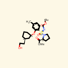 COC(=O)[C@@H]1CCCN1[S@@](=O)(=NC(=O)OC(C)(C)C)c1ccc(C)cc1O[C@@H]1CCC[C@H](CCO)C1